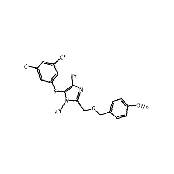 CCCn1c(COCc2ccc(OC)cc2)nc(C(C)C)c1Sc1cc(Cl)cc(Cl)c1